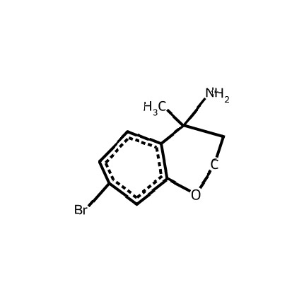 CC1(N)CCOc2cc(Br)ccc21